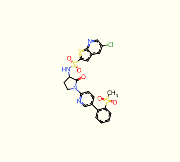 CS(=O)(=O)c1ccccc1-c1ccc(N2CCC(NS(=O)(=O)c3cc4cc(Cl)cnc4s3)C2=O)nc1